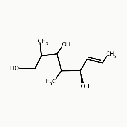 C/C=C/[C@@H](O)C(C)C(O)C(C)CO